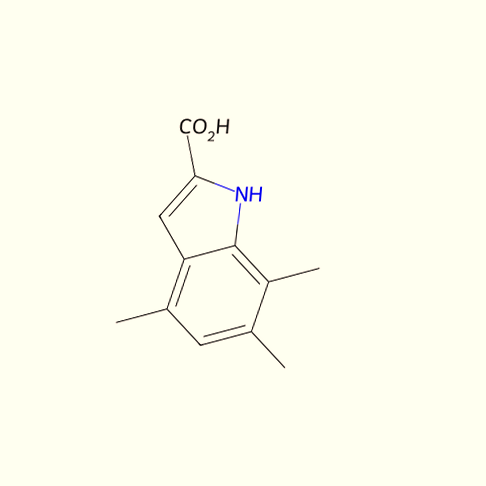 Cc1cc(C)c2cc(C(=O)O)[nH]c2c1C